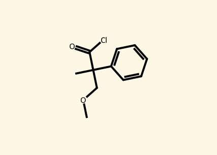 COCC(C)(C(=O)Cl)c1ccccc1